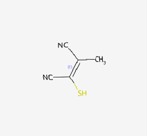 C/C(C#N)=C(\S)C#N